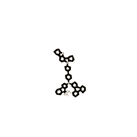 CC1(C)c2ccccc2-c2ccc(N(c3ccc(-c4ccc(-n5c6ccccc6c6c7oc8ccccc8c7ccc65)cc4)cc3)c3ccc4c5ccccc5c5ccccc5c4c3)cc21